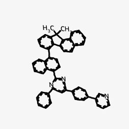 CC1(C)c2cccc(-c3ccc(-c4nc(-c5ccccc5)cc(-c5ccc(-c6cccnc6)cc5)n4)c4ccccc34)c2-c2ccc3ccccc3c21